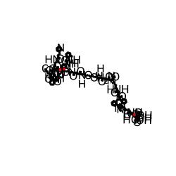 Cc1ccccc1NC(=O)Nc1ccc(CC(=O)N[C@@H](CCCCNC(=O)CCc2cccnc2)C(=O)N[C@@H](CCCC(=O)O)C(=O)NC2(C(=O)NCCOCCOCCNC(=O)CCC(=O)NCCOCCOCCNC(=O)CCC(=O)N[C@@H](CCCCNC(=O)CCC(=O)N3Cc4ccccc4-c4nnn(CCCC(=O)NCCCC(O)(P(=O)(O)O)P(=O)(O)O)c4-c4ccccc43)C(N)=O)CCCCC2)cc1